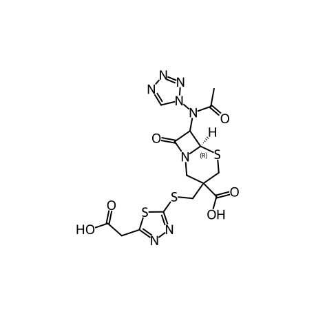 CC(=O)N(C1C(=O)N2CC(CSc3nnc(CC(=O)O)s3)(C(=O)O)CS[C@H]12)n1cnnn1